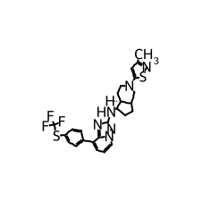 Cc1cc(N2CC[C@H]3C(CC[C@H]3Nc3nc4c(-c5ccc(SC(F)(F)F)cc5)cccn4n3)C2)sn1